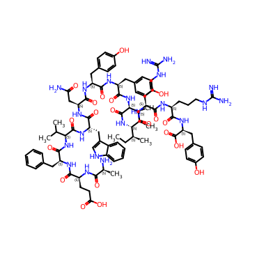 CC[C@H](C)[C@H](NC(=O)[C@H](Cc1ccc(O)cc1)NC(=O)[C@H](Cc1ccc(O)cc1)NC(=O)[C@H](CC(N)=O)NC(=O)[C@H](Cc1c[nH]c2ccccc12)NC(=O)[C@@H](NC(=O)[C@H](Cc1ccccc1)NC(=O)[C@H](CCC(=O)O)NC(=O)[C@H](C)N)C(C)C)C(=O)N[C@H](C(=O)N[C@@H](CCCNC(=N)N)C(=O)N[C@@H](CCCNC(=N)N)C(=O)N[C@@H](Cc1ccc(O)cc1)C(=O)O)[C@@H](C)CC